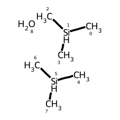 C[SiH](C)C.C[SiH](C)C.O